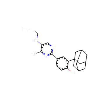 CCOC(=O)CNc1cnc(-c2ccc(O)c(C34CC5CC(CC(C5)C3)C4)c2)nc1CC